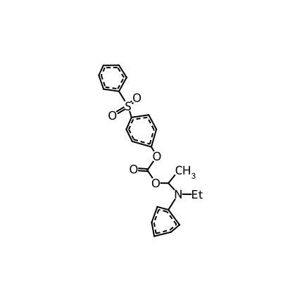 CCN(c1ccccc1)C(C)OC(=O)Oc1ccc(S(=O)(=O)c2ccccc2)cc1